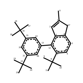 CC1=Cc2c(ccc(C(C)(C)C)c2-c2cc(C(C)(C)C)cc(C(C)(C)C)c2)[CH]1